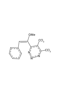 COC(=Cc1ccccc1)c1nnnc(C(Cl)(Cl)Cl)c1C(Cl)(Cl)Cl